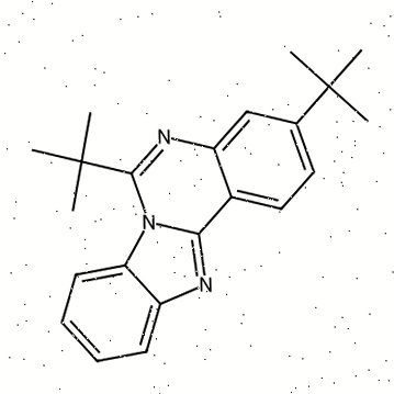 CC(C)(C)c1ccc2c(c1)nc(C(C)(C)C)n1c3ccccc3nc21